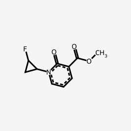 COC(=O)c1cccn(C2CC2F)c1=O